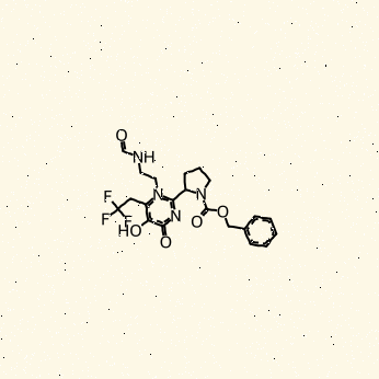 O=CNCCn1c(C2CCCN2C(=O)OCc2ccccc2)nc(=O)c(O)c1CC(F)(F)F